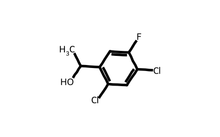 CC(O)c1cc(F)c(Cl)cc1Cl